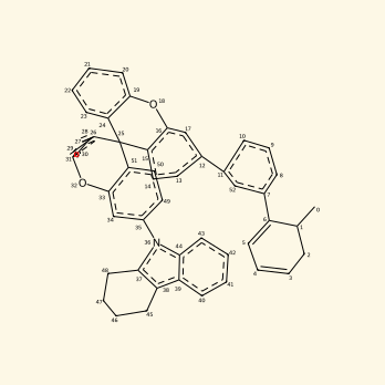 CC1CC=CC=C1c1cccc(-c2ccc3c(c2)Oc2ccccc2C32c3ccccc3Oc3cc(-n4c5c(c6ccccc64)CCCC5)ccc32)c1